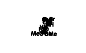 COc1cc(NC(=O)NCCNc2cc(-c3ccccc3Cl)nc3c(Br)cnn23)cc(OC)c1